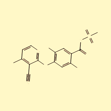 Cc1ccnc(Oc2cc(F)c(C(=O)NS(C)(=O)=O)cc2F)c1C#N